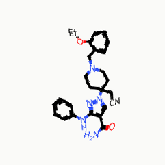 CCOc1ccccc1CN1CCC(CC#N)(n2cc(C(N)=O)c(Nc3ccccc3)n2)CC1